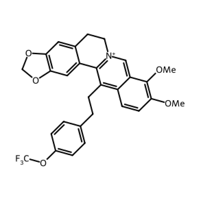 COc1ccc2c(CCc3ccc(OC(F)(F)F)cc3)c3[n+](cc2c1OC)CCc1cc2c(cc1-3)OCO2